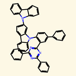 c1ccc(-c2ccc(-n3c4ccccc4c4ccc(-n5c6ccccc6c6ccccc65)cc43)c(-c3nc(-c4ccccc4)nc(-c4ccccc4)n3)c2)cc1